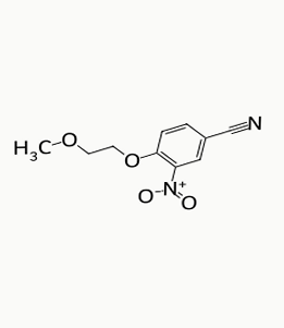 COCCOc1ccc(C#N)cc1[N+](=O)[O-]